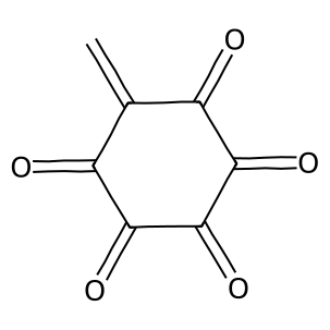 C=C1C(=O)C(=O)C(=O)C(=O)C1=O